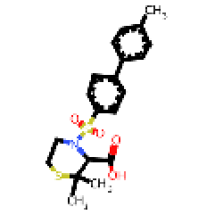 Cc1ccc(-c2ccc(S(=O)(=O)N3CCSC(C)(C)C3C(=O)O)cc2)cc1